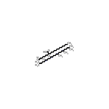 CC(C)=CCC/C(C)=C/CC/C(C)=C/CC/C=C(\C)CC/C=C(\C)CCC=C(C)C.CCCCCCCCCCCCCCC(CCCCCCCC)C(=O)O